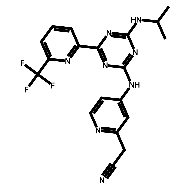 CC(C)Nc1nc(Nc2ccnc(CC#N)c2)nc(-c2cccc(C(F)(F)F)n2)n1